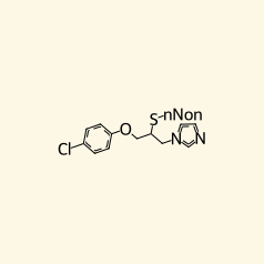 CCCCCCCCCSC(COc1ccc(Cl)cc1)Cn1ccnc1